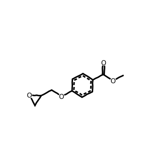 COC(=O)c1ccc(OCC2CO2)cc1